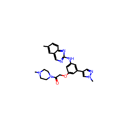 Cc1ccc2nc(Nc3cc(OCC(=O)N4CCN(C)CC4)cc(-c4cnn(C)c4)c3)ncc2c1